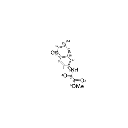 COC(=O)C(=O)Nc1ccc2c(=O)cc(C)sc2c1